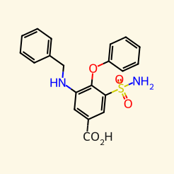 NS(=O)(=O)c1cc(C(=O)O)cc(NCc2ccccc2)c1Oc1ccccc1